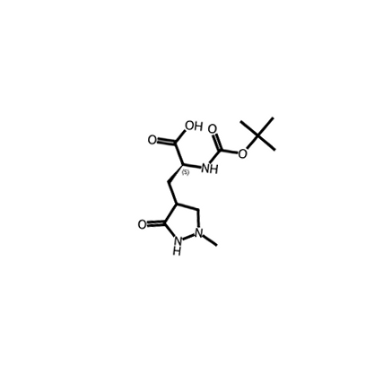 CN1CC(C[C@H](NC(=O)OC(C)(C)C)C(=O)O)C(=O)N1